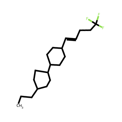 CCCC1CCC(C2CCC(C=CCCC(F)(F)F)CC2)CC1